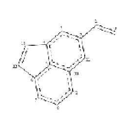 C=Cc1cc2c3c(cccc3c1)C=C2